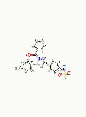 Cc1ccc(C(=O)N2N=C(c3ccc(NS(C)(=O)=O)cc3)CC2c2ccc(Br)cc2)cc1